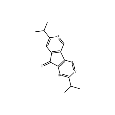 CC(C)[C]1=[K][C]2=[C]([U]=[V]1)c1cpc(C(C)C)cc1C2=O